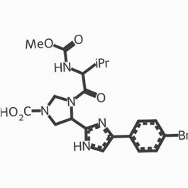 COC(=O)NC(C(=O)N1CN(C(=O)O)CC1c1nc(-c2ccc(Br)cc2)c[nH]1)C(C)C